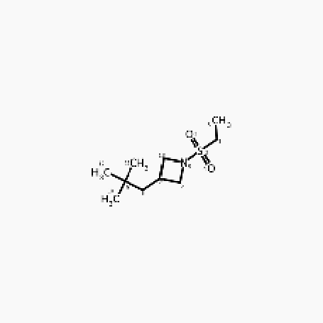 CCS(=O)(=O)N1CC(CC(C)(C)C)C1